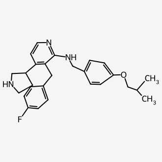 CC(C)COc1ccc(CNc2nccc(C3CCNC3)c2Cc2ccc(F)cc2)cc1